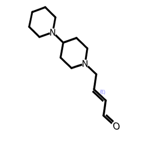 O=C/C=C/CN1CCC(N2CCCCC2)CC1